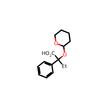 CCC(OC1CCCCO1)(C(=O)O)c1ccccc1